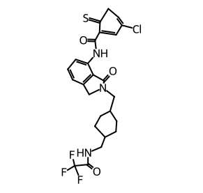 O=C(Nc1cccc2c1C(=O)N(CC1CCC(CNC(=O)C(F)(F)F)CC1)C2)C1=CC(Cl)=CCC1=S